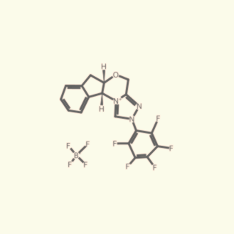 F[B-](F)(F)F.Fc1c(F)c(F)c(-n2c[n+]3c(n2)CO[C@H]2Cc4ccccc4[C@H]23)c(F)c1F